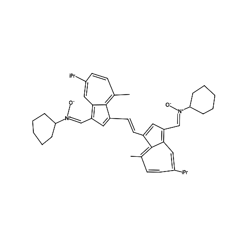 Cc1ccc(C(C)C)cc2c(/C=[N+](\[O-])C3CCCCC3)cc(/C=C/c3cc(/C=[N+](\[O-])C4CCCCC4)c4cc(C(C)C)ccc(C)c3-4)c1-2